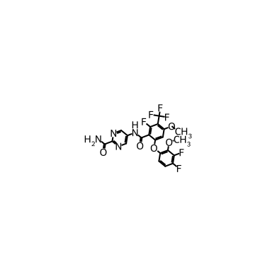 COc1cc(Oc2ccc(F)c(F)c2OC)c(C(=O)Nc2cnc(C(N)=O)nc2)c(F)c1C(F)(F)F